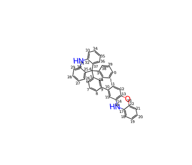 c1ccc(C2(c3cccc(-c4ccc5c(c4)Nc4ccccc4O5)c3)c3ccccc3Nc3ccccc32)cc1